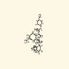 O=C(NCc1ccc(Cl)cc1)c1ccc(Cl)cc1NS(=O)(=O)c1cccc2nsnc12